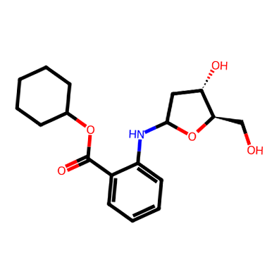 O=C(OC1CCCCC1)c1ccccc1NC1C[C@H](O)[C@@H](CO)O1